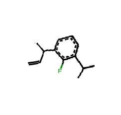 [CH2]C(C=C)c1cccc(C(C)C)c1F